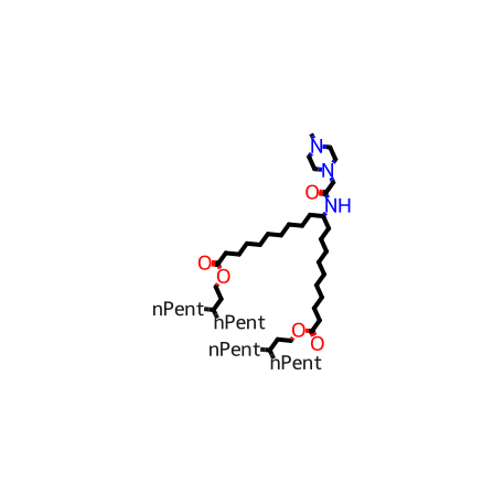 CCCCCC(CCCCC)CCOC(=O)CCCCCCCCCC(CCCCCCCCCC(=O)OCCC(CCCCC)CCCCC)NC(=O)CN1CCN(C)CC1